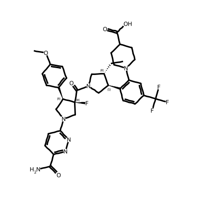 CC[C@H]1CN(C(=O)[C@]2(F)CN(c3ccc(C(N)=O)nn3)C[C@H]2c2ccc(OC)cc2)C[C@@H]1c1ccc(C(F)(F)F)cc1N1CCC(C(=O)O)CC1